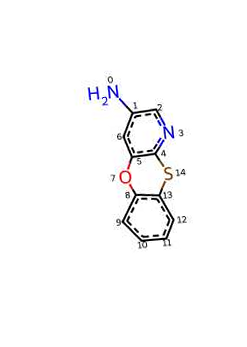 Nc1cnc2c(c1)Oc1ccccc1S2